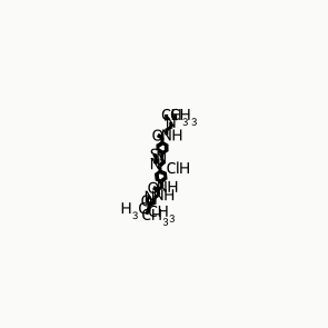 CCN(CC)CCNC(=O)c1ccc2c(c1)sc1nc(-c3ccc(NC(=O)Nc4cc(C(C)(C)C)on4)cc3)cn12.Cl